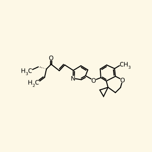 C=C[C@H](CC)C(=O)/C=C/c1ccc(Oc2ccc(C)c3c2C2(CCO3)CC2)cn1